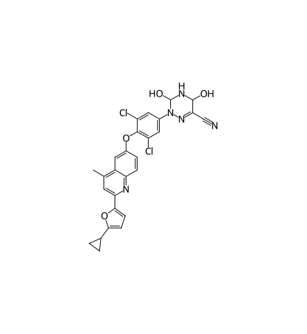 Cc1cc(-c2ccc(C3CC3)o2)nc2ccc(Oc3c(Cl)cc(N4N=C(C#N)C(O)NC4O)cc3Cl)cc12